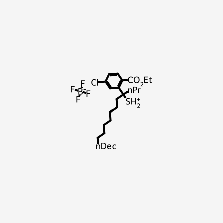 CCCCCCCCCCCCCCCCCC([SH2+])(CCC)c1cc(Cl)ccc1C(=O)OCC.F[B-](F)(F)F